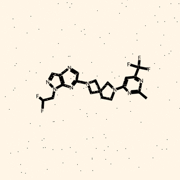 Cc1nc(N2CCC3(C2)CN(c2cnc4cnn(CC(F)F)c4n2)C3)cc(C(F)(F)F)n1